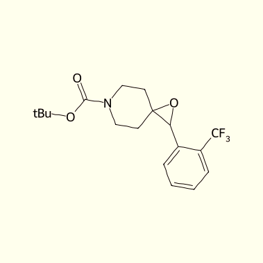 CC(C)(C)OC(=O)N1CCC2(CC1)OC2c1ccccc1C(F)(F)F